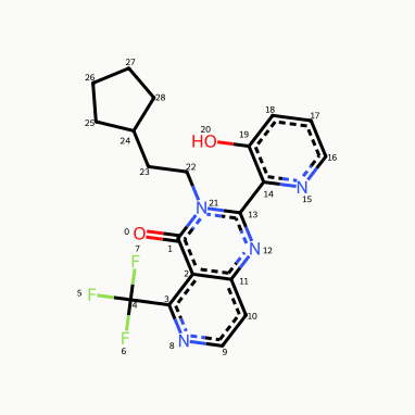 O=c1c2c(C(F)(F)F)nccc2nc(-c2ncccc2O)n1CCC1CCCC1